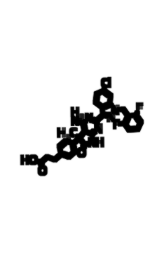 CC1(c2ccc(CCC(=O)O)cc2)C(=O)Nc2nc(-c3nn(Cc4c(F)cccc4F)c4cc(Cl)ccc34)nc(N)c21